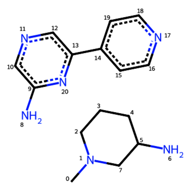 CN1CCCC(N)C1.Nc1cncc(-c2ccncc2)n1